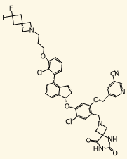 N#Cc1cncc(COc2cc(O[C@H]3CCc4c(-c5cccc(OCCCN6CC7(C6)CC(F)(F)C7)c5Cl)cccc43)c(Cl)cc2CN2CC3(C2)NC(=O)NC3=O)c1